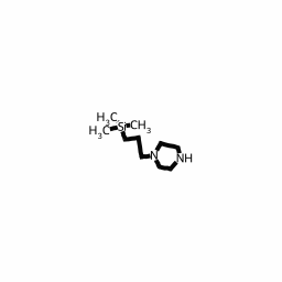 C[Si](C)(C)CCCN1CCNCC1